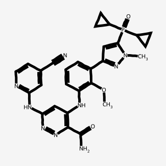 COc1c(Nc2cc(Nc3cc(C#N)ccn3)nnc2C(N)=O)cccc1-c1cc(P(=O)(C2CC2)C2CC2)n(C)n1